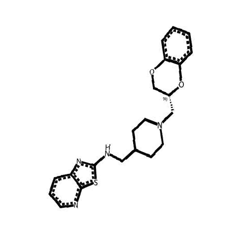 c1ccc2c(c1)OC[C@@H](CN1CCC(CNc3nc4cccnc4s3)CC1)O2